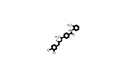 Cc1ccccc1NC(=O)c1ccc(C(C)C/C(F)=C/c2ccc(Cl)c(Cl)c2)cc1